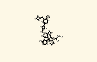 COC(=O)N[C@H]1CCC[C@@H]1[C@](CN1CCC1)(c1cccc(F)c1)C1CCN(CC2CN(c3ccc(C#N)c(CN4CCC4)c3)C2)CC1